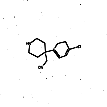 O=NCC1(C2=CC=C(Cl)CC2)CCNCC1